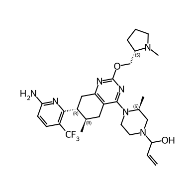 C=CC(O)N1CCN(c2nc(OC[C@@H]3CCCN3C)nc3c2C[C@@H](C)[C@H](c2nc(N)ccc2C(F)(F)F)C3)[C@@H](C)C1